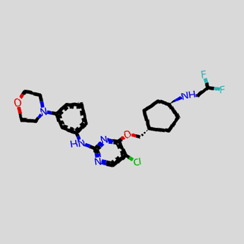 FC(F)CN[C@H]1CC[C@H](COc2nc(Nc3cccc(N4CCOCC4)c3)ncc2Cl)CC1